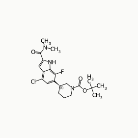 CN(C)C(=O)c1cc2c(Cl)cc([C@@H]3CCCN(C(=O)OC(C)(C)C)C3)c(F)c2[nH]1